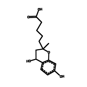 CC1(CCCCC(=O)O)CC(O)c2ccc(O)cc2O1